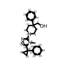 Cn1c(N2CCC(CO)(c3ccccc3)CC2)nnc1C1(c2ccccc2)CC1